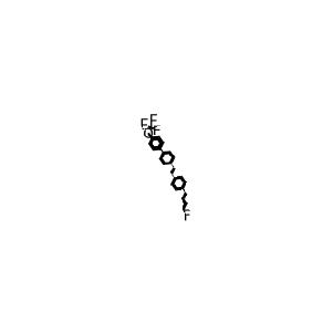 FCCC=C[C@H]1CC[C@H](CC[C@H]2CC[C@H](c3ccc(OC(F)(F)F)cc3)CC2)CC1